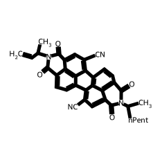 C=CC(C)N1C(=O)c2ccc3c4c(C#N)cc5c6c(ccc(c7c(C#N)cc(c2c37)C1=O)c64)C(=O)N(C(C)CCCCC)C5=O